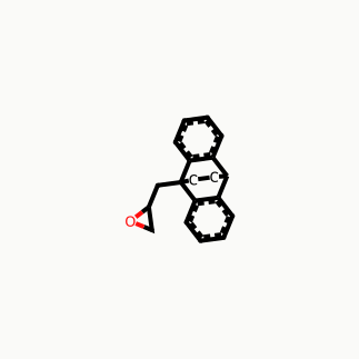 c1ccc2c(c1)C1CCC2(CC2CO2)c2ccccc21